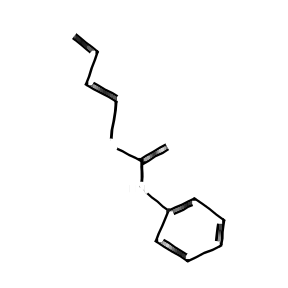 O=CC=COC(=O)Nc1ccccc1